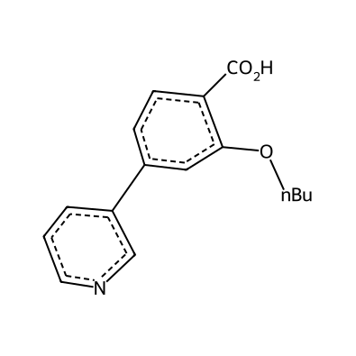 CCCCOc1cc(-c2cccnc2)ccc1C(=O)O